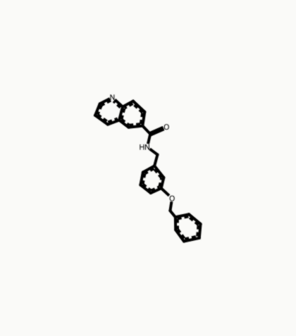 O=C(NCc1cccc(OCc2ccccc2)c1)c1ccc2ncccc2c1